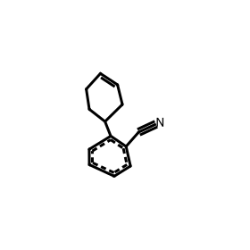 N#Cc1ccccc1C1CC=CCC1